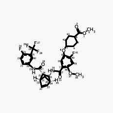 COC(=O)C1CCC(Oc2cc(C(=O)N[C@H]3[C@@H](C(=O)Nc4ccc(F)c(C(F)(F)F)c4)[C@@H]4C=C[C@H]3C4)c(OC)cc2F)CC1